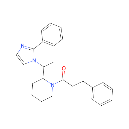 CC(C1CCCCN1C(=O)CCc1ccccc1)n1ccnc1-c1ccccc1